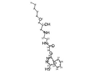 CCCCCOCC(O)CNCCNC(=O)COc1nnc(S)c2ccccc12